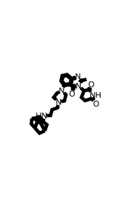 Cc1nc2cccc(N3CCN(CCCNC45CC6CC(CC(C6)C4)C5)CC3)c2c(=O)n1C1CCC(=O)NC1=O